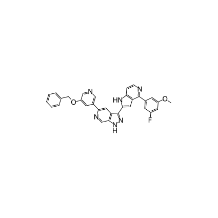 COc1cc(F)cc(-c2nccc3[nH]c(-c4n[nH]c5cnc(-c6cncc(OCc7ccccc7)c6)cc45)cc23)c1